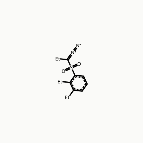 CCC(=[N+]=[N-])S(=O)(=O)c1cccc(CC)c1CC